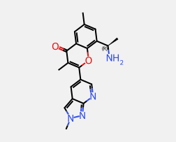 Cc1cc([C@@H](C)N)c2oc(-c3cnc4nn(C)cc4c3)c(C)c(=O)c2c1